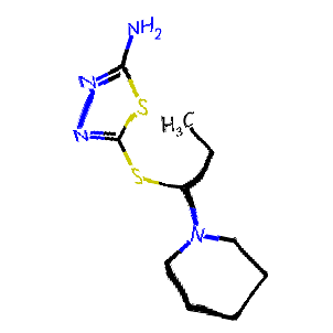 CCC(Sc1nnc(N)s1)N1CCCCC1